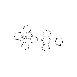 O=S12(c3ccccc3-c3ccccc31)c1ccccc1-c1cc(N3c4ccccc4B(c4ccccc4)c4ccccc43)ccc12